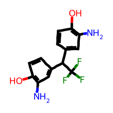 Nc1cc(C(c2ccc(O)c(N)c2)C(F)(F)F)ccc1O